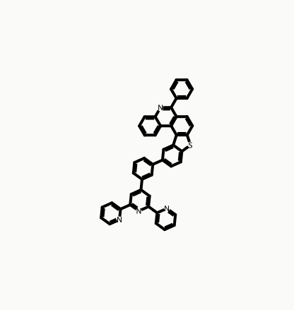 c1ccc(-c2nc3ccccc3c3c2ccc2sc4ccc(-c5cccc(-c6cc(-c7ccccn7)nc(-c7ccccn7)c6)c5)cc4c23)cc1